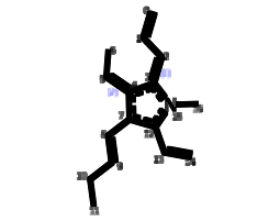 C=C/C=c1\c(=C/C)c(C=CCC)c(C=C)n1C